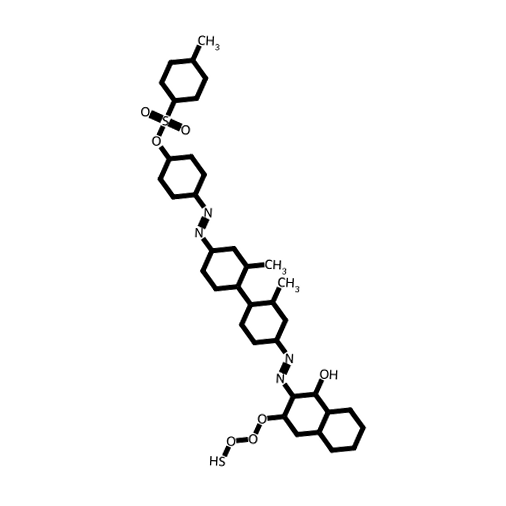 CC1CCC(S(=O)(=O)OC2CCC(N=NC3CCC(C4CCC(N=NC5C(OOOS)CC6CCCCC6C5O)CC4C)C(C)C3)CC2)CC1